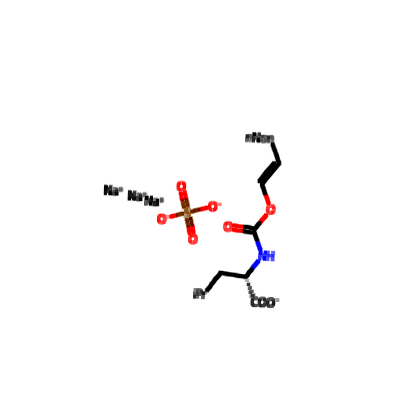 CCCCCCCCCC=COC(=O)N[C@@H](CC(C)C)C(=O)[O-].O=S(=O)([O-])[O-].[Na+].[Na+].[Na+]